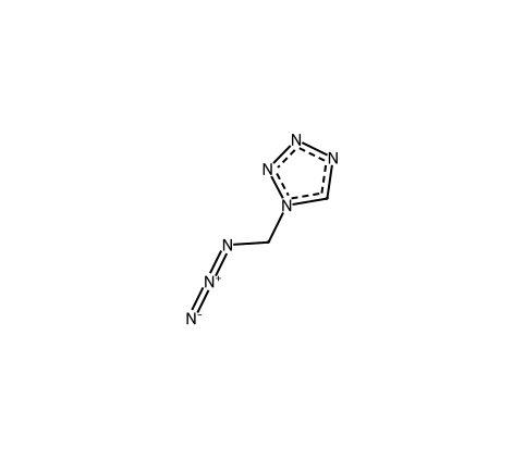 [N-]=[N+]=NCn1cnnn1